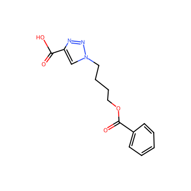 O=C(OCCCCn1cc(C(=O)O)nn1)c1ccccc1